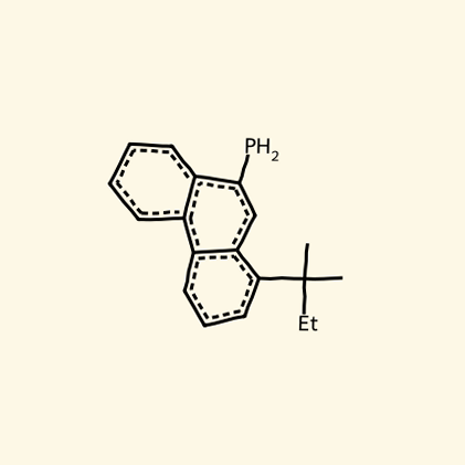 CCC(C)(C)c1cccc2c1cc(P)c1ccccc12